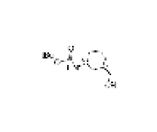 CC(C)(C)OC(=O)N[C@H]1CCC[C@@H](CO)C1